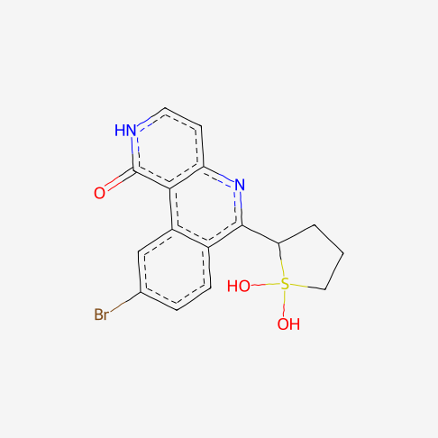 O=c1[nH]ccc2nc(C3CCCS3(O)O)c3ccc(Br)cc3c12